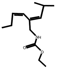 CC/C=C\C(=C/C(C)C)CNC(=O)OCC